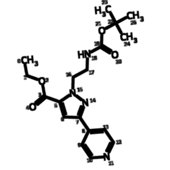 CCOC(=O)c1cc(-c2ccncc2)nn1CCNC(=O)OC(C)(C)C